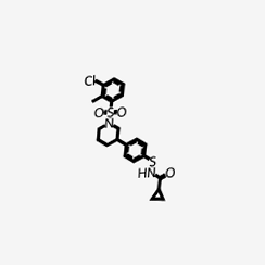 Cc1c(Cl)cccc1S(=O)(=O)N1CCCC(c2ccc(SNC(=O)C3CC3)cc2)C1